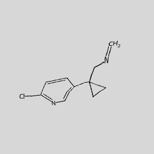 C=NCC1(c2ccc(Cl)nc2)CC1